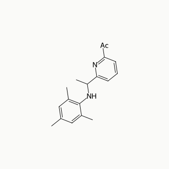 CC(=O)c1cccc(C(C)Nc2c(C)cc(C)cc2C)n1